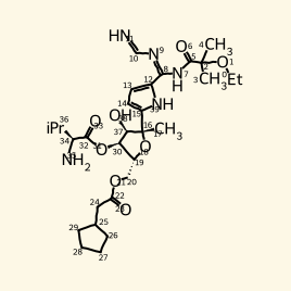 CCOC(C)(C)C(=O)N/C(=N/C=N)c1ccc([C@]2(C)O[C@H](COC(=O)CC3CCCC3)[C@@H](OC(=O)[C@@H](N)C(C)C)[C@H]2O)[nH]1